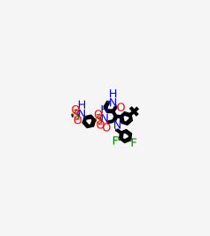 CC(C)(C)c1ccc2c(c1)c(-c1ccc[nH]c1=O)c(C(=O)NS(=O)(=O)c1cccc(NS(C)(=O)=O)c1)n2Cc1ccc(F)cc1F